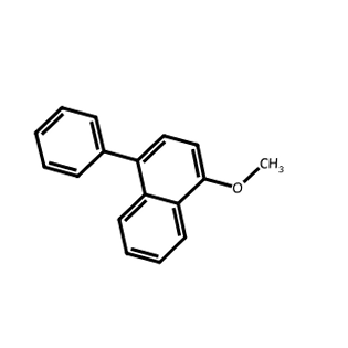 COc1ccc(-c2ccccc2)c2ccccc12